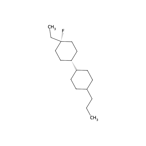 CCCC1CCC([C@H]2CC[C@](F)(CC)CC2)CC1